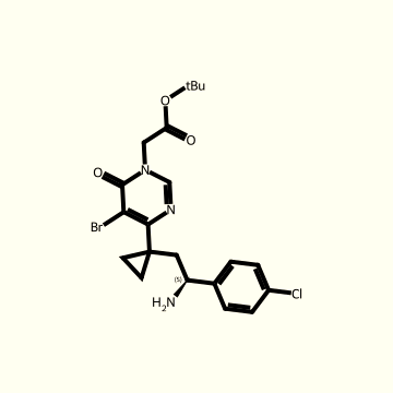 CC(C)(C)OC(=O)Cn1cnc(C2(C[C@H](N)c3ccc(Cl)cc3)CC2)c(Br)c1=O